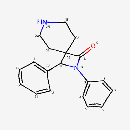 O=C1N(c2ccccc2)C(c2ccccc2)C12CCNCC2